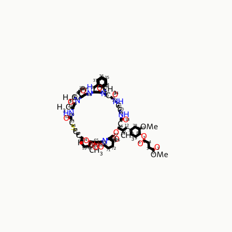 COC(=O)CCC(=O)O[C@H]1CC[C@H](C[C@@H](C)[C@@H]2CC(=O)NCCNC(=O)CN(C)C(=O)[C@H](Cc3ccccc3)NC(=O)[C@H](CC(C)C)N(C)C(=O)[C@H](C)NC(=O)CSCC[C@@H]3CC[C@@H](C)[C@@](O)(O3)C(=O)C(=O)N3CCCC[C@@H]3C(=O)O2)C[C@H]1OC